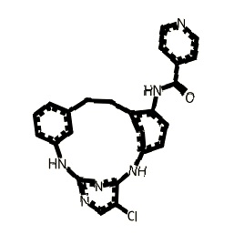 O=C(Nc1ccc2cc1CCc1cccc(c1)Nc1ncc(Cl)c(n1)N2)c1ccncc1